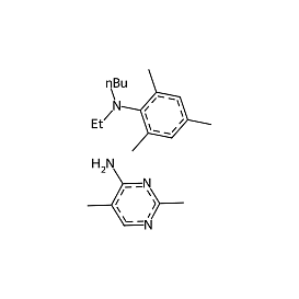 CCCCN(CC)c1c(C)cc(C)cc1C.Cc1ncc(C)c(N)n1